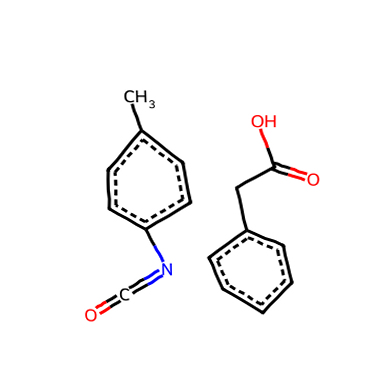 Cc1ccc(N=C=O)cc1.O=C(O)Cc1ccccc1